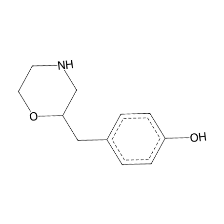 Oc1ccc(CC2CNCCO2)cc1